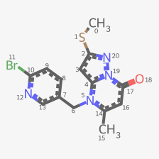 CSc1cc2n(Cc3ccc(Br)nc3)c(C)cc(=O)n2n1